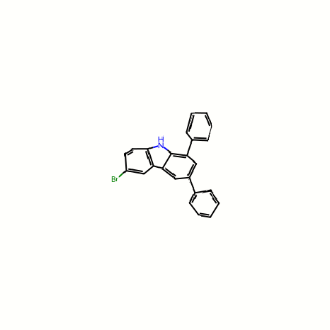 Brc1ccc2[nH]c3c(-c4ccccc4)cc(-c4ccccc4)cc3c2c1